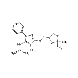 C=C(N)Nc1c(C)c(OCC2COC(C)(C)O2)nn1-c1ccccc1